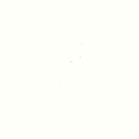 COc1ccc2c(c1)[C@]1(C[C@H]1c1ccc3c(Nc4ncncc4C4CC4)nn(C(=O)OC(C)(C)C)c3c1)C(=O)N2C(=O)OC(C)(C)C